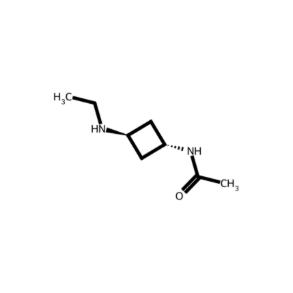 CCN[C@H]1C[C@H](NC(C)=O)C1